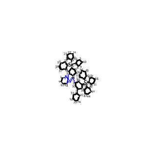 C1=CN2c3cc([Si](c4ccccc4)(c4ccccc4)c4ccccc4)ccc3N(c3cc(-c4ccccc4)cc([Si](c4ccccc4)(c4ccccc4)c4ccccc4)c3)N2C=C1